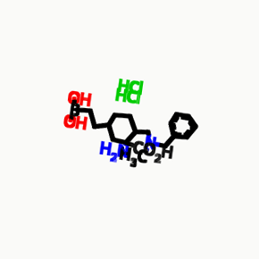 CN(Cc1ccccc1)CC1CCC(CCB(O)O)CC1(N)C(=O)O.Cl.Cl